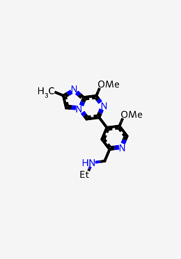 CCNCc1cc(-c2cn3cc(C)nc3c(OC)n2)c(OC)cn1